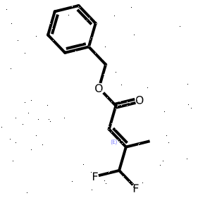 C/C(=C\C(=O)OCc1ccccc1)C(F)F